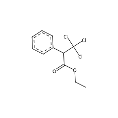 CCOC(=O)C(c1ccccc1)C(Cl)(Cl)Cl